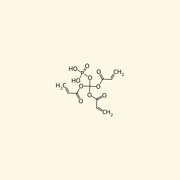 C=CC(=O)OC(OC(=O)C=C)(OC(=O)C=C)OP(=O)(O)O